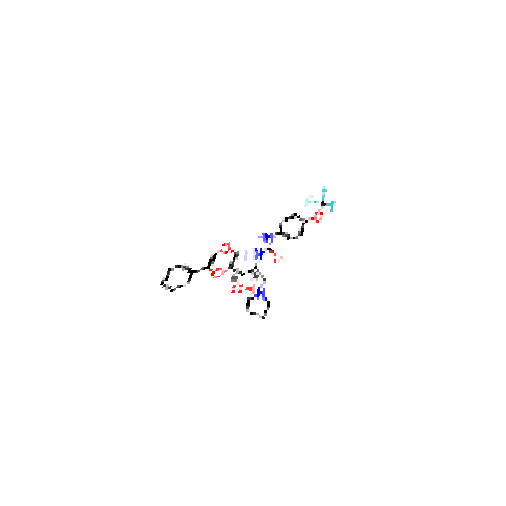 O=C(Nc1ccc(OC(F)(F)F)cc1)N[C@H](CN1CCCC1)[C@@H](O)C1=COC=C(C2=CC=CCC2)O1